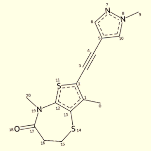 Cc1c(C#Cc2cnn(C)c2)sc2c1SCCC(=O)N2C